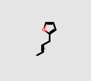 [CH2]/C=C/Cc1ccco1